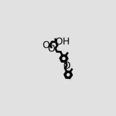 Cc1cc(OCc2ccccc2C)ccc1CCC1CC(C)(O)CC(=O)O1